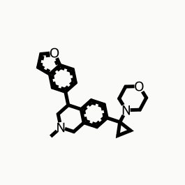 CN1Cc2cc(C3(N4CCOCC4)CC3)ccc2C(c2ccc3occc3c2)C1